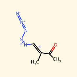 CC(=O)/C(C)=C/N=N\N=[N+]=[N-]